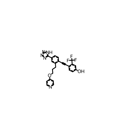 Oc1ccc(C#Cc2ccc(-c3nnn[nH]3)cc2CCCOc2ccncc2)c(C(F)(F)F)c1